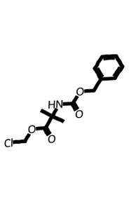 CC(C)(NC(=O)OCc1ccccc1)C(=O)OCCl